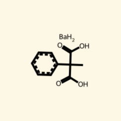 CC(C(=O)O)(C(=O)O)c1ccccc1.[BaH2]